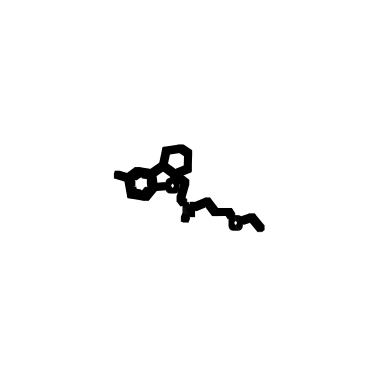 CCOCCCN(C)CCC12CCCCC1c1cc(C)ccc1O2